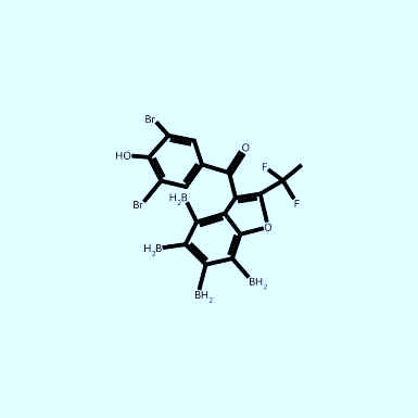 Bc1c(B)c(B)c2c(C(=O)c3cc(Br)c(O)c(Br)c3)c(C(C)(F)F)oc2c1B